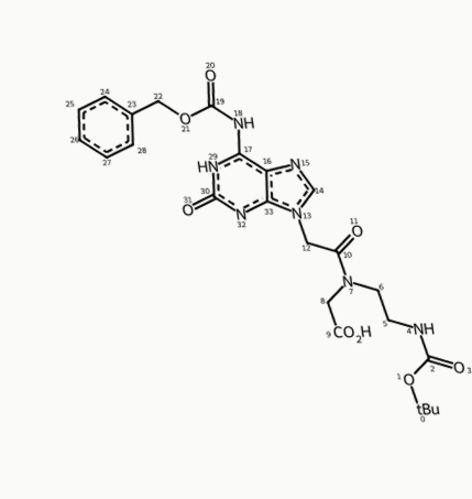 CC(C)(C)OC(=O)NCCN(CC(=O)O)C(=O)Cn1cnc2c(NC(=O)OCc3ccccc3)[nH]c(=O)nc21